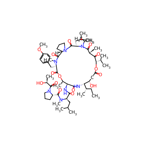 CC[C@H](C)[C@@H]1NC(=O)[C@@H](NC(=O)[C@@H](CC(C)C)N(C)C(=O)[C@@H]2CCCN2C(=O)[C@H](C)O)[C@@H](C)OC(=O)[C@H](Cc2ccc(OC)cc2)N(C)C(=O)[C@@H]2CCCN2C(=O)[C@H](CC(C)C)N(C(C)C)C(=O)[C@@H](C)C(=O)[C@H](C(C)C)OC(=O)C[C@@H]1O